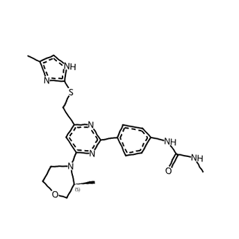 CNC(=O)Nc1ccc(-c2nc(CSc3nc(C)c[nH]3)cc(N3CCOC[C@@H]3C)n2)cc1